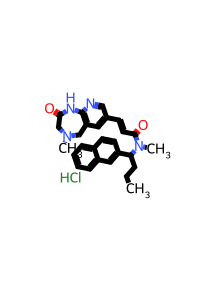 CCCC(c1ccc2ccccc2c1)N(C)C(=O)C=Cc1cnc2c(c1)CN(C)CC(=O)N2.Cl